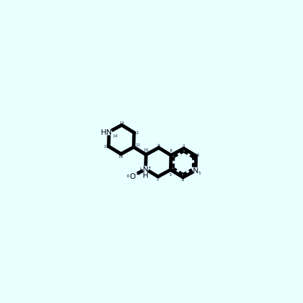 [O-][NH+]1Cc2cnccc2CC1C1CCNCC1